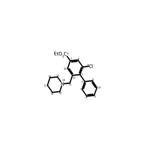 CCOC(=O)c1cc(Cl)c(-c2ccccc2)c(CN2CCCCC2)c1